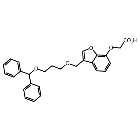 O=C(O)COc1cccc2c(COCCCOC(c3ccccc3)c3ccccc3)coc12